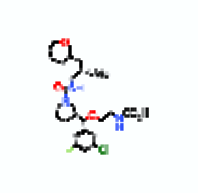 CNC(CNC(=O)N1CCCC(C(OCCNC(=O)O)c2cc(F)cc(Cl)c2)C1)CC1CCCCOC1